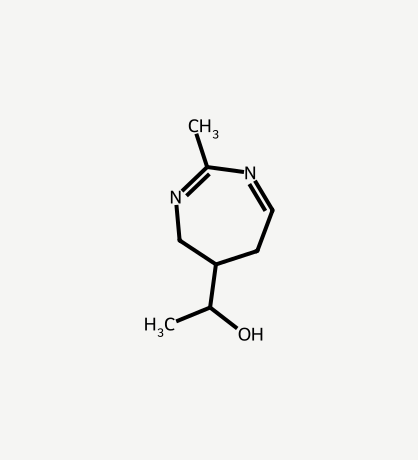 CC1=NCC(C(C)O)CC=N1